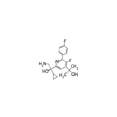 CC(C)(O)c1cc([C@@](O)(CN)C2CC2)nc(-c2ccc(F)cc2)c1F